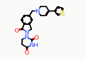 O=C1CCN(N2Cc3cc(CN4CC=C(c5ccsc5)CC4)ccc3C2=O)C(=O)N1